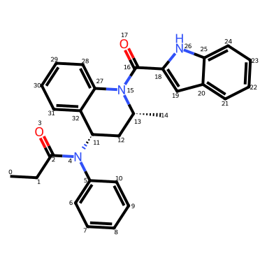 CCC(=O)N(c1ccccc1)[C@H]1C[C@@H](C)N(C(=O)c2cc3ccccc3[nH]2)c2ccccc21